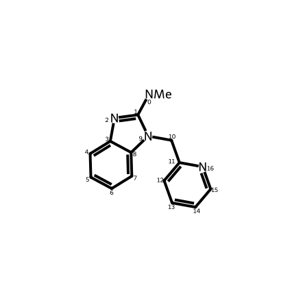 CNc1nc2ccccc2n1Cc1ccccn1